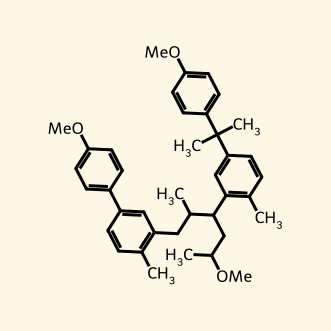 COc1ccc(-c2ccc(C)c(CC(C)C(CC(C)OC)c3cc(C(C)(C)c4ccc(OC)cc4)ccc3C)c2)cc1